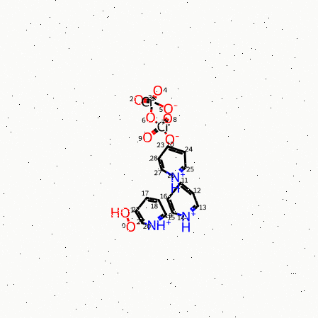 [O-]O.[O]=[Cr](=[O])([O-])[O][Cr](=[O])(=[O])[O-].c1cc[nH+]cc1.c1cc[nH+]cc1.c1cc[nH+]cc1